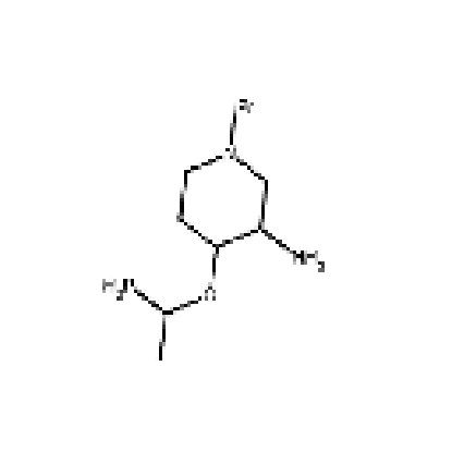 CC(P)OC1CCN(C(C)C)CC1N